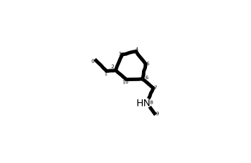 CCC1CCCC(CNC)C1